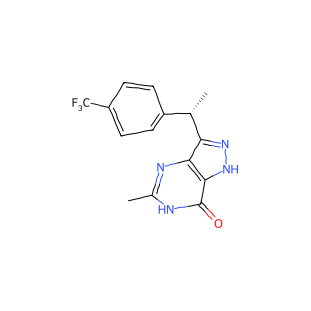 Cc1nc2c([C@@H](C)c3ccc(C(F)(F)F)cc3)n[nH]c2c(=O)[nH]1